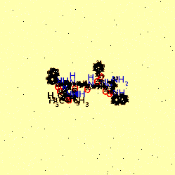 CN[C@@H](C)C(=O)N[C@H](C(=O)N1C[C@@H](NC(=O)CCCC(=O)NCCC[C@H](NC(=O)OCc2ccccc2)C(=O)N2C[C@@H](N)C[C@H]2C(=O)N[C@@H]2CCCc3ccccc32)C[C@H]1C(=O)N[C@@H]1CCCc2ccccc21)C(C)(C)C